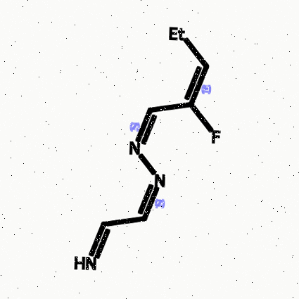 CC\C=C(F)/C=N\N=C/C=N